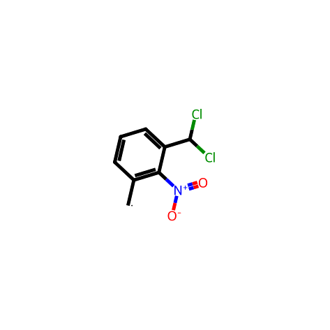 [CH2]c1cccc(C(Cl)Cl)c1[N+](=O)[O-]